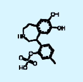 Cc1ccc(C2CNCCc3cc(O)c(O)cc32)c(OS(=O)(=O)O)c1